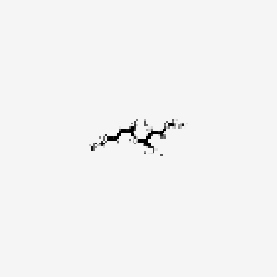 C=C(CCOCCC)OC(=C)CCOCCC